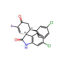 O=C1C[C@@H](c2cccc(Cl)c2)[C@]2(C=C1I)C(=O)Nc1cc(Cl)ccc12